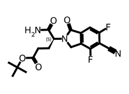 CC(C)(C)OC(=O)CC[C@@H](C(N)=O)N1Cc2c(cc(F)c(C#N)c2F)C1=O